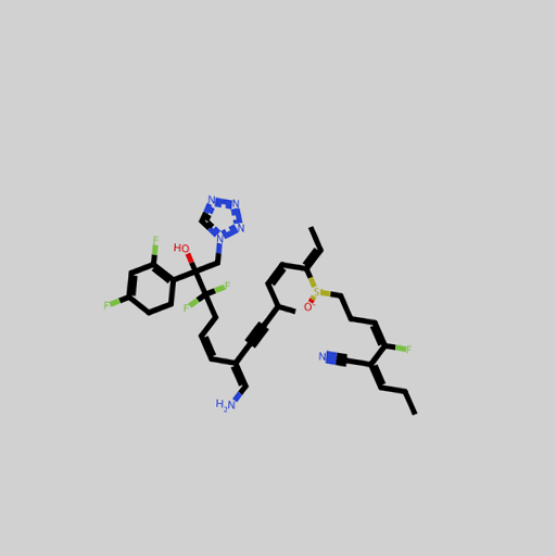 C/C=C(\C=C/C(C)C#CC(/C=C\CC(F)(F)C(O)(Cn1cnnn1)C1=C(F)C=C(F)CC1)=C/N)[S+]([O-])CC/C=C(F)\C(C#N)=C/CC